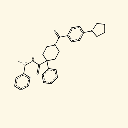 C[C@H](NC(=O)C1(c2ccccc2)CCN(C(=O)c2ccc(N3CCCC3)cc2)CC1)c1ccccc1